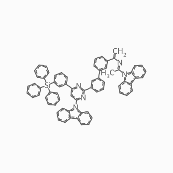 C=C(/N=C(\C)n1c2ccccc2c2ccccc21)c1cccc(-c2cccc(-c3nc(-c4cccc([Si](c5ccccc5)(c5ccccc5)c5ccccc5)c4)cc(-n4c5ccccc5c5ccccc54)n3)c2)c1